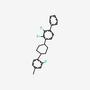 Cc1ccc(C2CCC(c3ccc(-c4ccccc4)c(F)c3F)CC2)c(F)c1